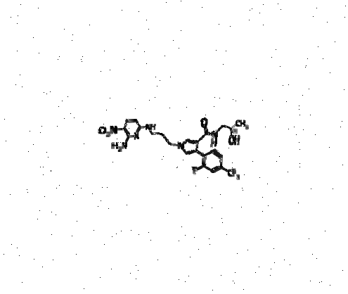 C[C@H](O)CNC(=O)c1cn(CCCNc2ccc([N+](=O)[O-])c(N)n2)cc1-c1ccc(C(F)(F)F)cc1F